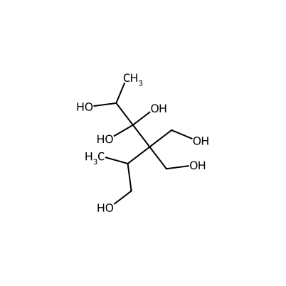 CC(O)C(O)(O)C(CO)(CO)C(C)CO